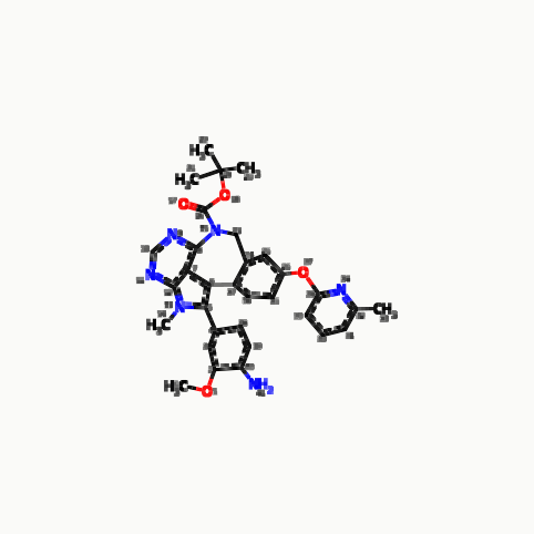 COc1cc(-c2c3c4c(ncnc4n2C)N(C(=O)OC(C)(C)C)Cc2cc(Oc4cccc(C)n4)ccc2-3)ccc1N